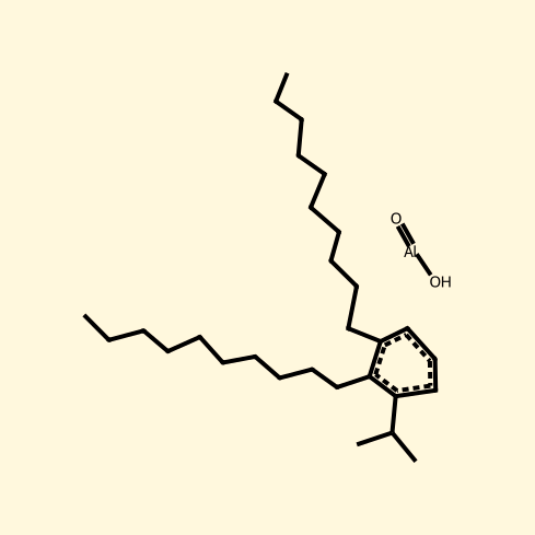 CCCCCCCCCCc1cccc(C(C)C)c1CCCCCCCCCC.[O]=[Al][OH]